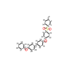 Cc1ccc(S(=O)(=O)c2ccc(Oc3ccc(-c4ccc(Oc5ccccc5)cc4)cc3)cc2)cc1